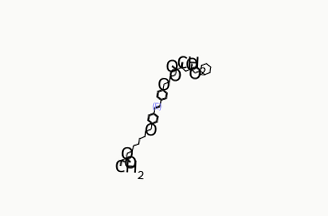 C=CC(=O)OCCCCCCOc1ccc(/C=C/c2ccc(OCCOC(=O)C(=C)CC(=O)OC3CCCCC3)cc2)cc1